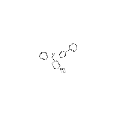 C1=[C]([Cr][CH](c2ccccc2)c2ccccn2)CC=C1c1ccccc1.Cl.Cl